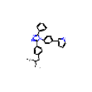 CC(C)Cc1ccc(-c2nnc(-c3ccccc3)n2-c2ccc(-c3cccnc3)cc2)cc1